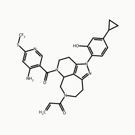 C=CC(=O)N1CCc2nn(-c3ccc(C4CC4)cc3O)c3c2C(C1)N(C(=O)c1cnc(SC(F)(F)F)cc1N)CC3